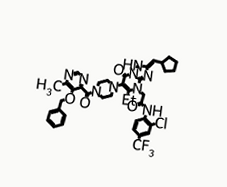 CCC1=C(N2CCN(C(=O)c3ncnc(C)c3OCc3ccccc3)CC2)C(=O)N2NC(=CC3CCCC3)N=C2N1CC(=O)Nc1ccc(C(F)(F)F)cc1Cl